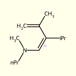 C=C(C)/C(=C\N(C)CCC)C(C)C